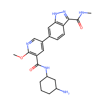 CNC(=O)c1n[nH]c2cc(-c3cnc(OC)c(C(=O)NC4CCCC(N)C4)c3)ccc12